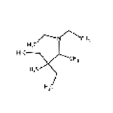 CCN(CC)C(C)C([SiH3])(CC)CC